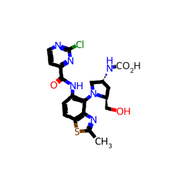 Cc1nc2c(N3C[C@H](NC(=O)O)C[C@H]3CO)c(NC(=O)c3ccnc(Cl)n3)ccc2s1